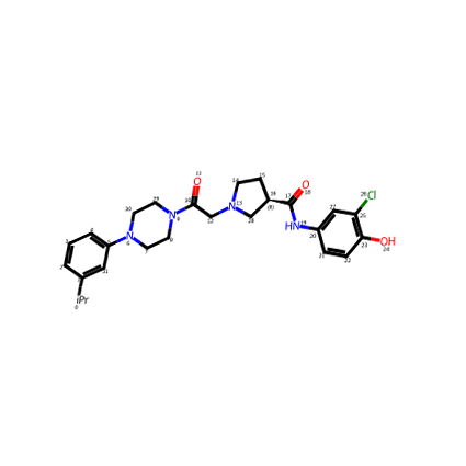 CC(C)c1cccc(N2CCN(C(=O)CN3CC[C@@H](C(=O)Nc4ccc(O)c(Cl)c4)C3)CC2)c1